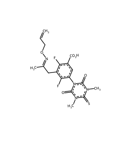 C=CCON=C(C)Cc1c(F)c(C(=O)O)cc(-n2c(=O)n(C)c(=S)n(C)c2=O)c1F